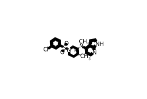 C[C@@H]1CCN(S(=O)(=O)c2cccc(Cl)c2)C[C@@H]1N(C)c1ccnc2[nH]ccc12